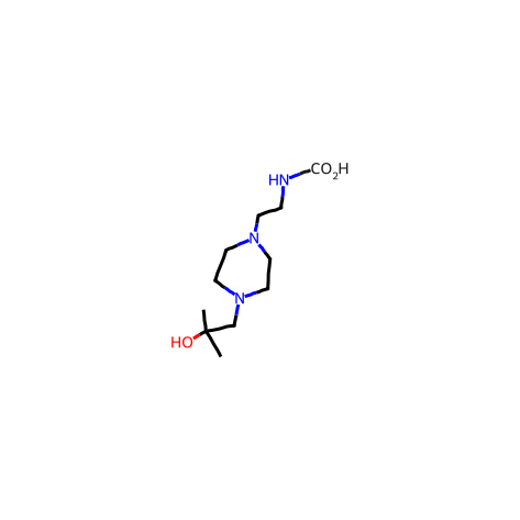 CC(C)(O)CN1CCN(CCNC(=O)O)CC1